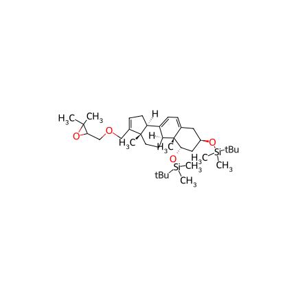 CC1(C)OC1COCC1=CC[C@H]2C3=CC=C4C[C@@H](O[Si](C)(C)C(C)(C)C)C[C@H](O[Si](C)(C)C(C)(C)C)[C@]4(C)[C@H]3CC[C@]12C